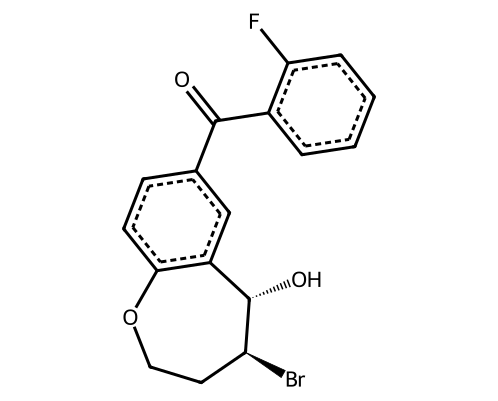 O=C(c1ccc2c(c1)[C@H](O)[C@@H](Br)CCO2)c1ccccc1F